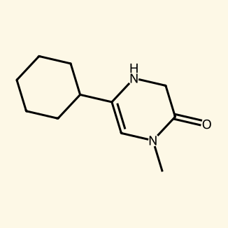 CN1C=C(C2CCCCC2)NCC1=O